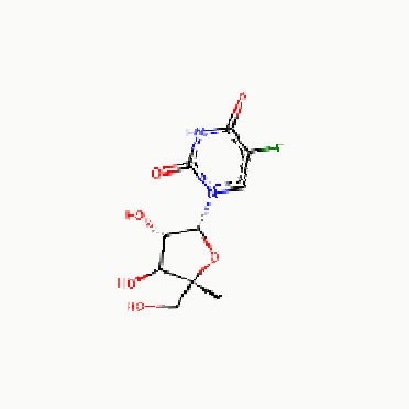 C[C@]1(CO)O[C@@H](n2cc(F)c(=O)[nH]c2=O)[C@@H](O)[C@@H]1O